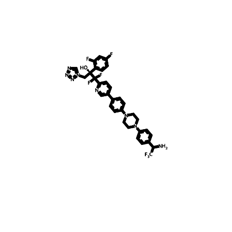 NC(c1ccc(N2CCN(c3ccc(-c4ccc(C(F)(F)[C@](O)(Cn5cnnn5)c5ccc(F)cc5F)nc4)cc3)CC2)cc1)C(F)(F)F